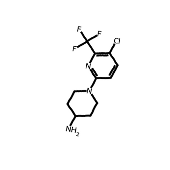 NC1CCN(c2ccc(Cl)c(C(F)(F)F)n2)CC1